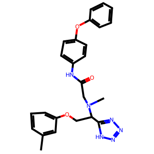 Cc1cccc(OCC(c2nnn[nH]2)N(C)CC(=O)Nc2ccc(Oc3ccccc3)cc2)c1